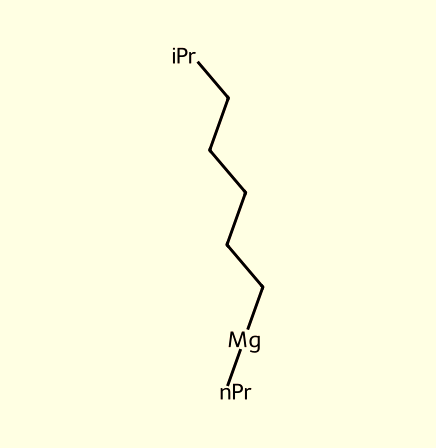 CC[CH2][Mg][CH2]CCCCC(C)C